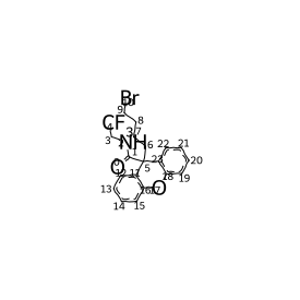 O=C(NCC(F)(F)F)C1(CCCCBr)c2ccccc2Oc2ccccc21